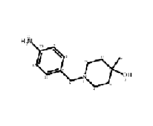 CC1(O)CCN(Cc2ccc(N)cc2)CC1